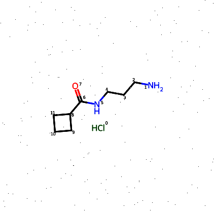 Cl.NCCCNC(=O)C1CCC1